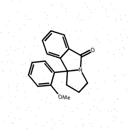 COc1ccccc1C12CCCN1C(=O)c1ccccc12